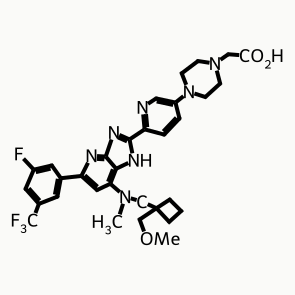 COCC1(CN(C)c2cc(-c3cc(F)cc(C(F)(F)F)c3)nc3nc(-c4ccc(N5CCN(CC(=O)O)CC5)cn4)[nH]c23)CCC1